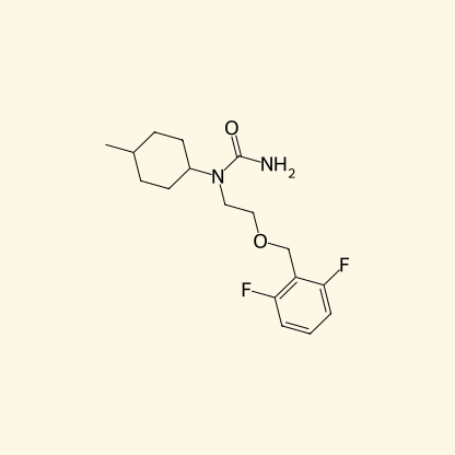 CC1CCC(N(CCOCc2c(F)cccc2F)C(N)=O)CC1